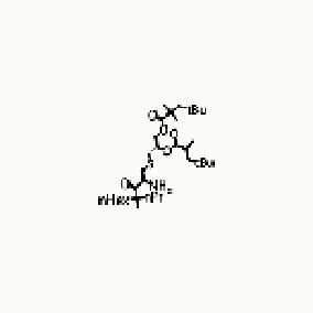 CCCCCCC(C)(CCC)C(=O)C(N)CSC[C@H](COC(=O)C(C)(C)CC(C)(C)C)OC(=O)C(C)CC(C)(C)C